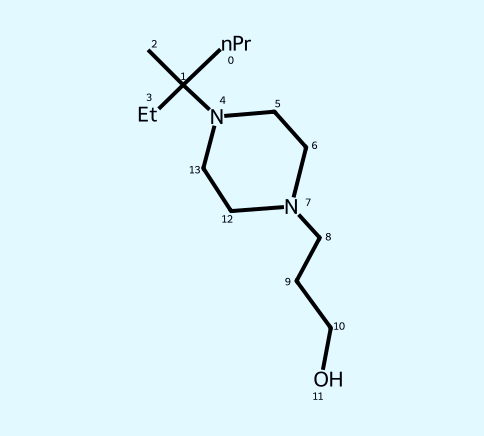 CCCC(C)(CC)N1CCN(CCCO)CC1